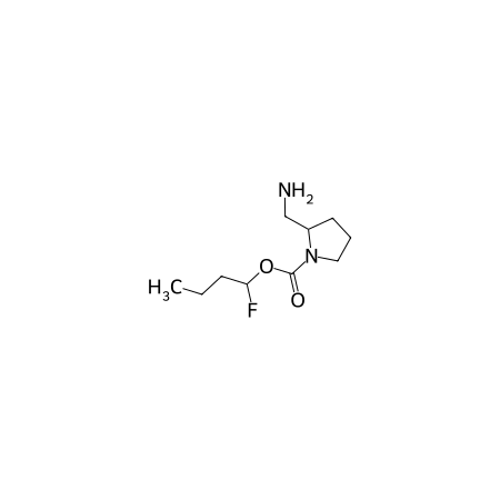 CCCC(F)OC(=O)N1CCCC1CN